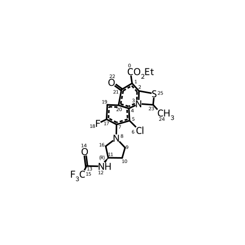 CCOC(=O)c1c2n(c3c(Cl)c(N4CC[C@@H](NC(=O)C(F)(F)F)C4)c(F)cc3c1=O)C(C)S2